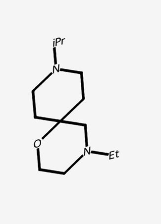 CCN1CCOC2(CCN(C(C)C)CC2)C1